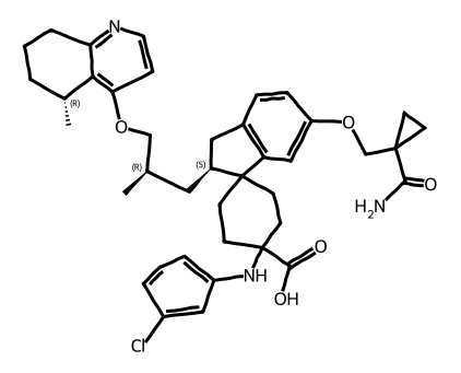 C[C@@H](COc1ccnc2c1[C@H](C)CCC2)C[C@H]1Cc2ccc(OCC3(C(N)=O)CC3)cc2C12CCC(Nc1cccc(Cl)c1)(C(=O)O)CC2